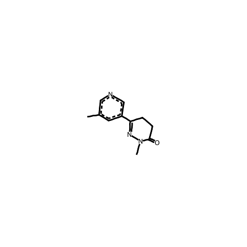 Cc1cncc(C2=NN(C)C(=O)CC2)c1